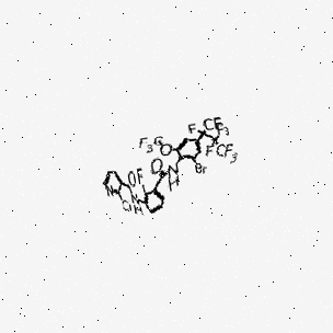 O=C(Nc1cccc(C(=O)Nc2c(Br)cc(C(F)(C(F)(F)F)C(F)(F)C(F)(F)F)cc2OC(F)(F)F)c1F)c1cccnc1Cl